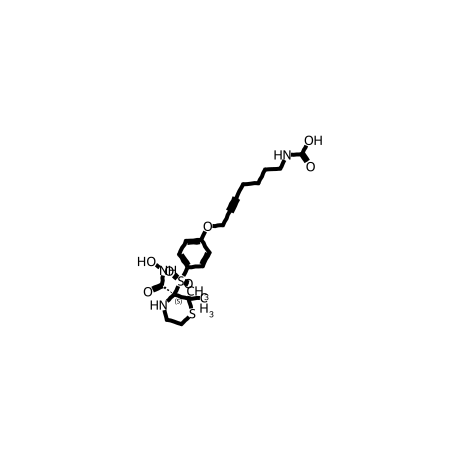 CC1(C)SCCN[C@@]1(C(=O)NO)S(=O)(=O)c1ccc(OCC#CCCCCNC(=O)O)cc1